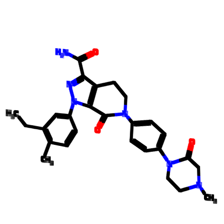 CCc1cc(-n2nc(C(N)=O)c3c2C(=O)N(c2ccc(N4CCN(C)CC4=O)cc2)CC3)ccc1C